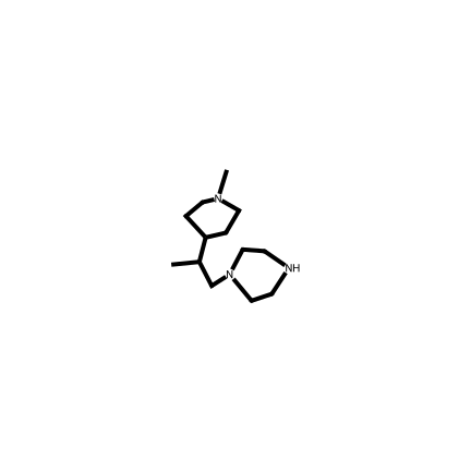 CC(CN1CCNCC1)C1CCN(C)CC1